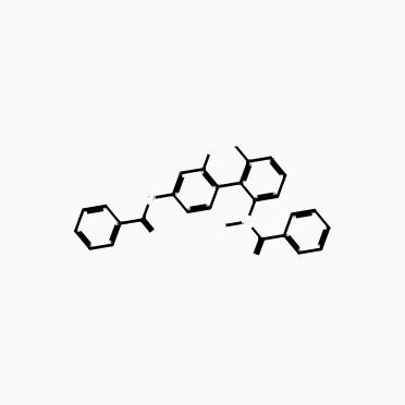 CN(C(=O)c1ccccc1)c1cc[c]c(Cl)c1-c1ccc(NC(=O)c2ccccc2)cc1Cl